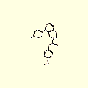 COc1ccc(CC(=O)N2CCc3cccc(N4CCN(C)CC4)c3C2)cc1